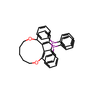 C1=CC(P(c2ccccc2)c2ccccc2)=C2c3c(cccc3P(c3ccccc3)c3ccccc3)OCCCCCOC2C1